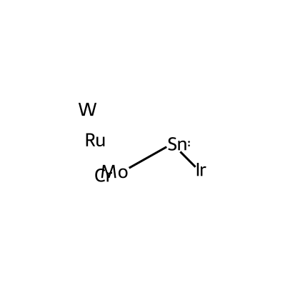 [Cr].[Mo][Sn][Ir].[Ru].[W]